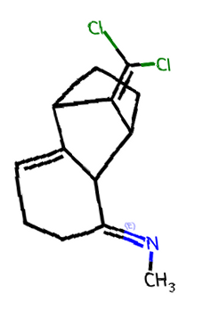 C/N=C1\CCC=C2C3CCC(C3=C(Cl)Cl)C21